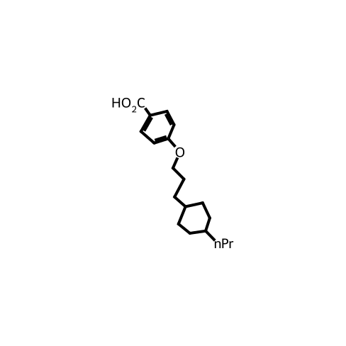 CCCC1CCC(CCCOc2ccc(C(=O)O)cc2)CC1